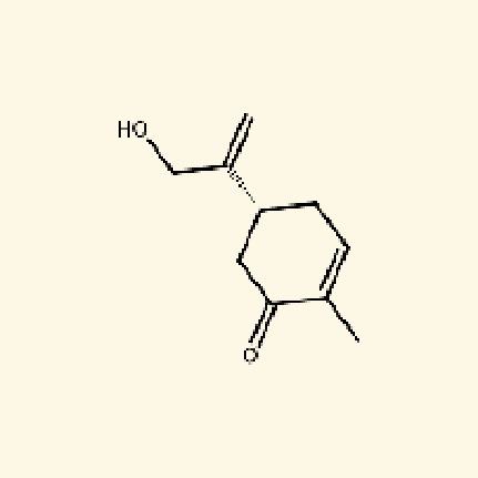 C=C(CO)[C@@H]1CC=C(C)C(=O)C1